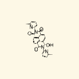 Cc1cccc(N2C(=O)c3ccc4c5c(ccc(c35)C2=O)C(O)N(c2cccc(C)n2)C4=O)n1